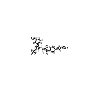 O=C(NCc1cc(C(F)(F)F)nn1-c1cccc(Cl)c1)Nc1ccc(N2CC(O)C2)nc1